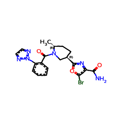 C[C@@H]1CC[C@@H](c2nc(C(N)=O)c(Br)o2)CN1C(=O)c1ccccc1-n1nccn1